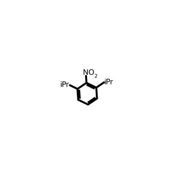 CC(C)c1cccc(C(C)C)c1[N+](=O)[O-]